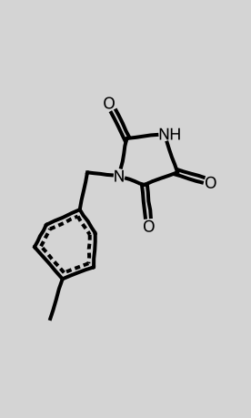 Cc1ccc(CN2C(=O)NC(=O)C2=O)cc1